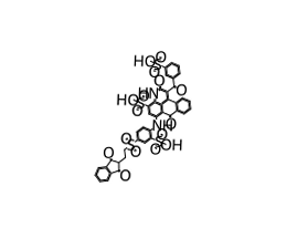 O=C(c1cccc(S(=O)(=O)O)c1)c1c2c3c(c(Nc4ccc(S(=O)(=O)CCC5C(=O)c6ccccc6C5=O)cc4S(=O)(=O)O)cc(S(=O)(=O)O)c3[nH]c1=O)C(=O)c1ccccc1-2